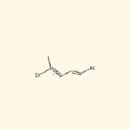 CC/C(C)=C/C=C/C(C)=O